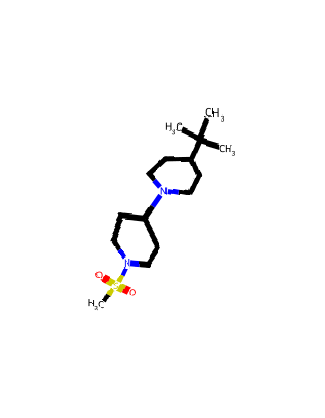 CC(C)(C)C1CCN(C2CCN(S(C)(=O)=O)CC2)CC1